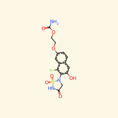 NC(=O)OCCOc1ccc2cc(O)c(N3CC(=O)NS3(=O)=O)c(F)c2c1